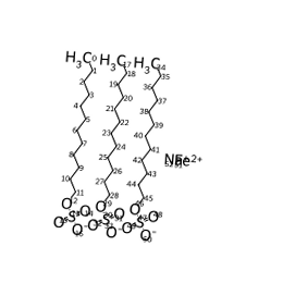 CCCCCCCCCCCCOS(=O)(=O)[O-].CCCCCCCCCCCCOS(=O)(=O)[O-].CCCCCCCCCCCCOS(=O)(=O)[O-].[Fe+2].[Na+]